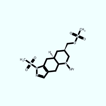 CCCN1C[C@H](COS(C)(=O)=O)C[C@@H]2Cc3c(cnn3S(C)(=O)=O)CC21